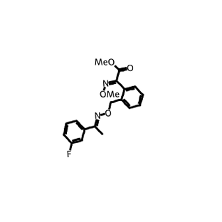 CO/N=C(/C(=O)OC)c1ccccc1CO/N=C(\C)c1cccc(F)c1